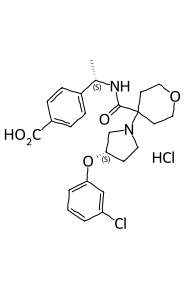 C[C@H](NC(=O)C1(N2CC[C@H](Oc3cccc(Cl)c3)C2)CCOCC1)c1ccc(C(=O)O)cc1.Cl